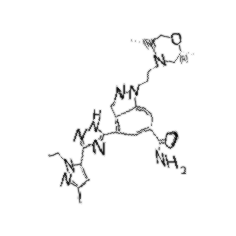 CCn1nc(C)cc1-c1n[nH]c(-c2cc(C(N)=O)cc3c2cnn3CCN2C[C@@H](C)OC[C@H]2C)n1